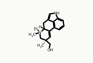 CC[N+]1(C)C[C@](C)(CO)C=C2c3cccc4[nH]cc(c34)C[C@H]21